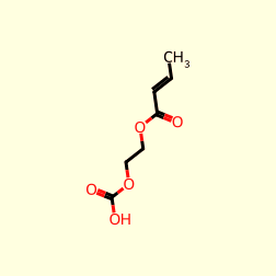 CC=CC(=O)OCCOC(=O)O